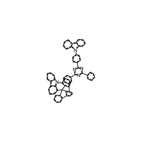 c1ccc(-c2nc(-c3ccc(-n4c5ccccc5c5ccccc54)cc3)nc(-c3cccc(-c4cccc5c4C4(c6ccccc6-5)c5ccccc5-n5c6ccccc6c6cccc4c65)c3)n2)cc1